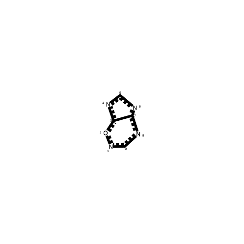 c1noc2ncnc-2n1